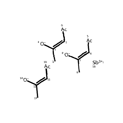 CC(=O)/C=C(/C)[O-].CC(=O)/C=C(/C)[O-].CC(=O)/C=C(/C)[O-].[Sb+3]